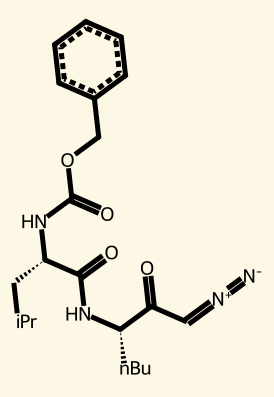 CCCC[C@H](NC(=O)[C@H](CC(C)C)NC(=O)OCc1ccccc1)C(=O)C=[N+]=[N-]